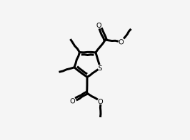 COC(=O)c1sc(C(=O)OC)c(C)c1C